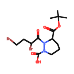 CC(C)(C)OC(=O)C1CCCN(C(=O)O)N1C(=O)C(Br)CCBr